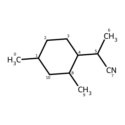 CC1CCC(C(C)C#N)C(C)C1